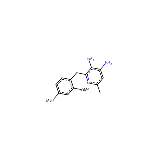 COc1ccc(Cc2nc(C)cc(N)c2N)c(OC)c1